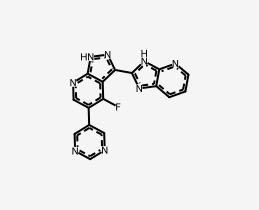 Fc1c(-c2cncnc2)cnc2[nH]nc(-c3nc4cccnc4[nH]3)c12